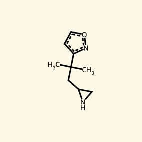 CC(C)(CC1CN1)c1ccon1